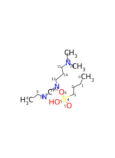 CCCCS(=O)(=O)O.CCN=C=NCCCN(C)C